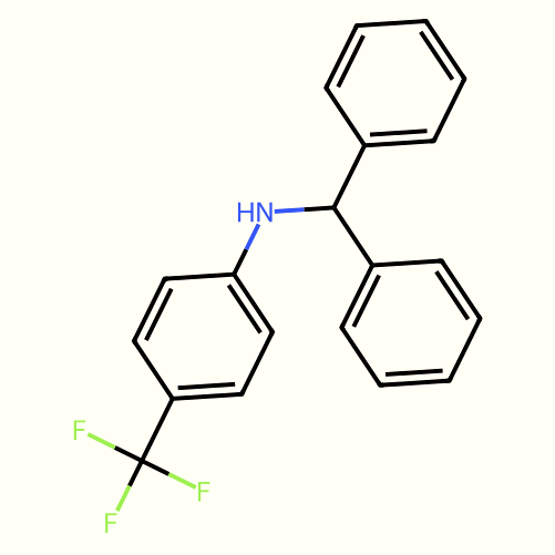 FC(F)(F)c1ccc(NC(c2ccccc2)c2ccccc2)cc1